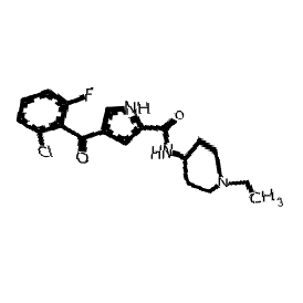 CCN1CCC(NC(=O)c2cc(C(=O)c3c(F)cccc3Cl)c[nH]2)CC1